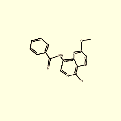 COc1ccc2c(Cl)ncc(NC(=O)c3ccccc3)c2c1